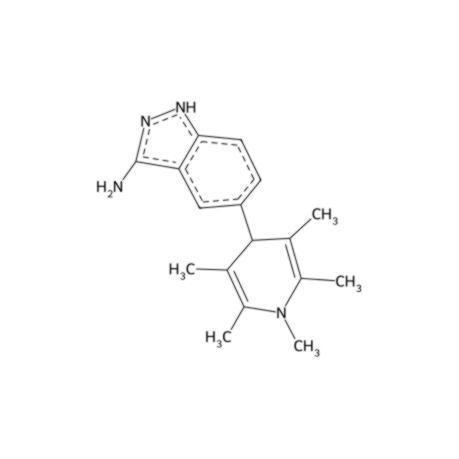 CC1=C(C)N(C)C(C)=C(C)C1c1ccc2[nH]nc(N)c2c1